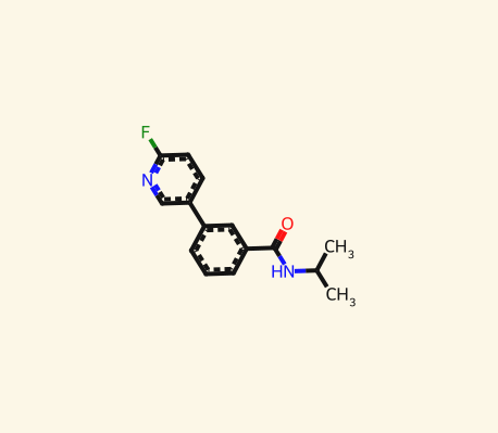 CC(C)NC(=O)c1cccc(-c2ccc(F)nc2)c1